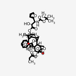 CCC(=O)O[C@H]1C[C@H]2OC[C@@]2(OC(C)=O)[C@@H]2[C@]1(C)C(=O)[C@H](O)C1=C(C)[C@@H](OC(=O)[C@H](O)[C@@H](NC(=O)OC(C)(C)C)c3ccco3)C[C@]3(C[C@]23OC(=O)c2ccccc2)C1(C)C